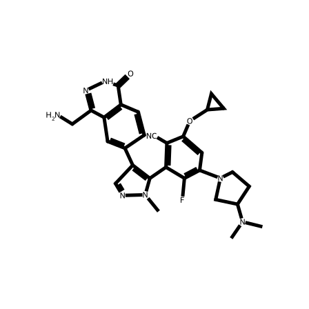 CN(C)C1CCN(c2cc(OC3CC3)c(C#N)c(-c3c(-c4ccc5c(=O)[nH]nc(CN)c5c4)cnn3C)c2F)C1